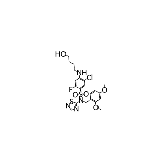 COc1ccc(CN(c2ncns2)S(=O)(=O)c2cc(Cl)c(NCCCCO)cc2F)c(OC)c1